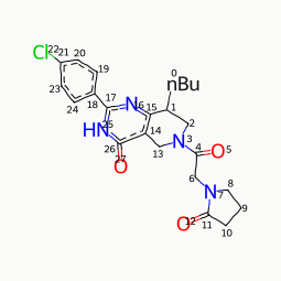 CCCCC1CN(C(=O)CN2CCCC2=O)Cc2c1nc(-c1ccc(Cl)cc1)[nH]c2=O